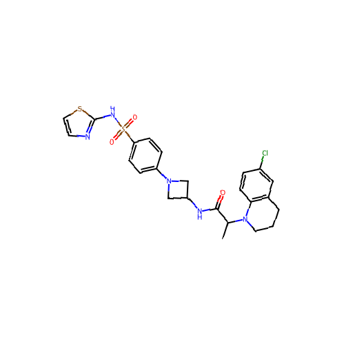 CC(C(=O)NC1CN(c2ccc(S(=O)(=O)Nc3nccs3)cc2)C1)N1CCCc2cc(Cl)ccc21